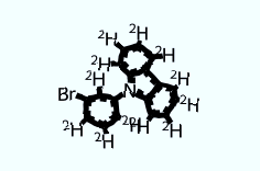 [2H]c1c([2H])c(Br)c([2H])c(-n2c3c([2H])c([2H])c([2H])c([2H])c3c3c([2H])c([2H])c([2H])c([2H])c32)c1[2H]